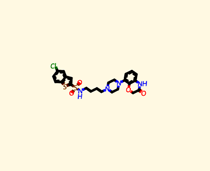 O=C1COc2c(cccc2N2CCN(CCCCNS(=O)(=O)c3cc4cc(Cl)ccc4s3)CC2)N1